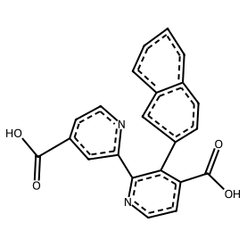 O=C(O)c1ccnc(-c2nccc(C(=O)O)c2-c2ccc3ccccc3c2)c1